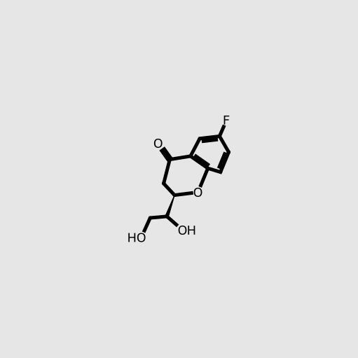 O=C1C[C@H](C(O)CO)Oc2ccc(F)cc21